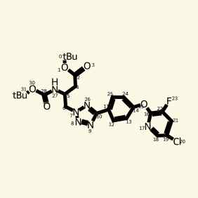 CC(C)(C)OC(=O)CC(Cn1nnc(-c2ccc(Oc3ncc(Cl)cc3F)cc2)n1)NC(=O)OC(C)(C)C